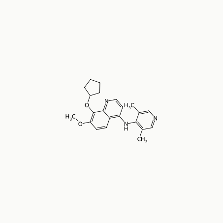 COc1ccc2c(Nc3c(C)cncc3C)ccnc2c1OC1CCCC1